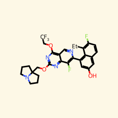 CCc1c(F)ccc2cc(O)cc(-c3ncc4c(OCC(F)(F)F)nc(OCC56CCCN5CCC6)nc4c3F)c12